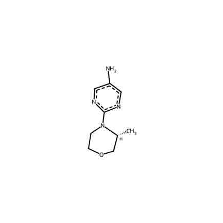 C[C@@H]1COCCN1c1ncc(N)cn1